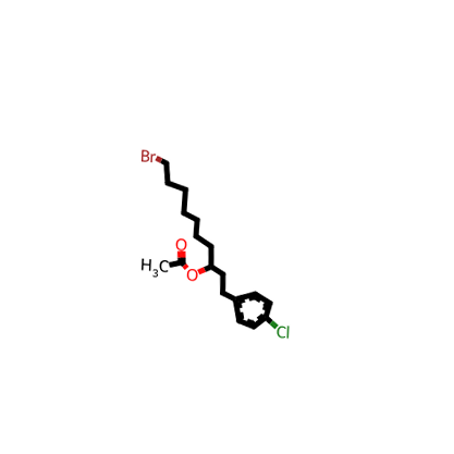 CC(=O)OC(CCCCCCCBr)CCc1ccc(Cl)cc1